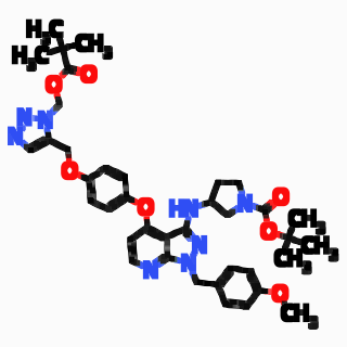 COc1ccc(Cn2nc(NC3CCN(C(=O)OC(C)(C)C)C3)c3c(Oc4ccc(OCc5cnnn5COC(=O)C(C)(C)C)cc4)ccnc32)cc1